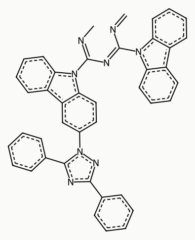 C=N/C(=N\C(=N/C)n1c2ccccc2c2cc(-n3nc(-c4ccccc4)nc3-c3ccccc3)ccc21)n1c2ccccc2c2ccccc21